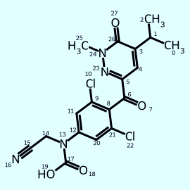 CC(C)c1cc(C(=O)c2c(Cl)cc(N(CC#N)C(=O)O)cc2Cl)nn(C)c1=O